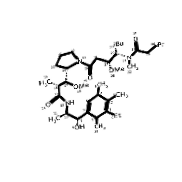 CCC1=C(C)C(C)C=C([C@H](O)[C@@H](C)NC(=O)[C@H](C)C(OC)[C@@H]2CCCN2C(=O)C[C@@H](OC)[C@H]([C@@H](C)CC)N(C)C(=O)CC(C)C)C1C